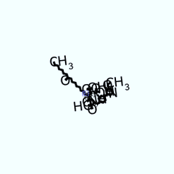 CCCCCCCC(=O)CCCCCC/C=C/[C@H](C(=O)N[C@@H](Cc1ccc(-c2cncc(OC)c2)cc1)C(=O)O)[C@@H](CC(=O)O)C(=O)O